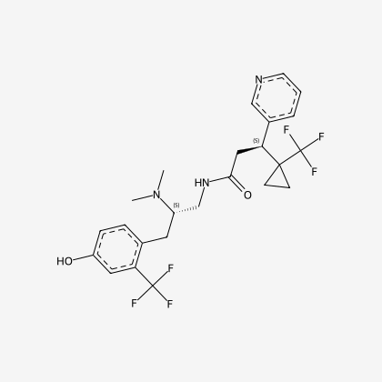 CN(C)[C@H](CNC(=O)C[C@@H](c1cccnc1)C1(C(F)(F)F)CC1)Cc1ccc(O)cc1C(F)(F)F